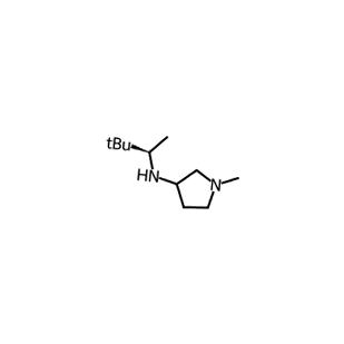 C[C@@H](NC1CCN(C)C1)C(C)(C)C